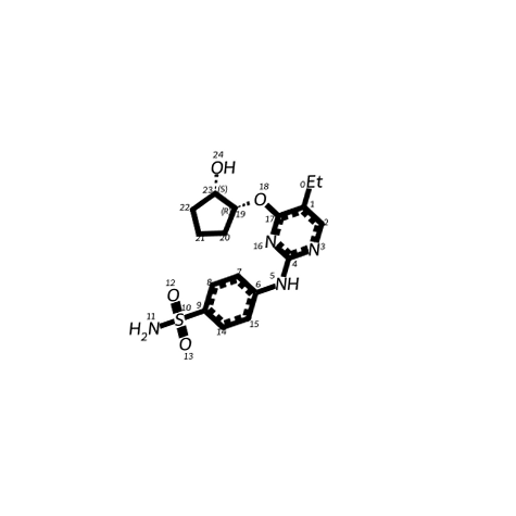 CCc1cnc(Nc2ccc(S(N)(=O)=O)cc2)nc1O[C@@H]1CCC[C@@H]1O